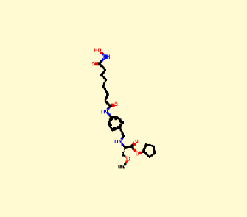 CC(C)(C)OC[C@H](NCc1ccc(NC(=O)CCCCCCC(=O)NO)cc1)C(=O)OC1CCCC1